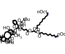 CCCCCCCC/C=C\CCCCCCCC(=O)OCC(COC(=O)CCC(=O)O[C@@H](C(=O)O[C@H]1CC(O)C2CC[C@@H]3[C@@H]4CO[C@@H]4C[C@H](O)[C@@]3(C)C(=O)[C@H](O)C(=C1C)C2(C)C)[C@@H](NC(=O)OC(C)(C)C)c1ccccc1)OC(=O)CCCCCCC/C=C\CCCCCCCC